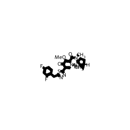 COc1c2n(cc(-c3nnc(Cc4ccc(F)cc4F)s3)c1=O)N(C)C1(CC[C@@H]3C[C@@]31C(C)=O)N(C)C2=O